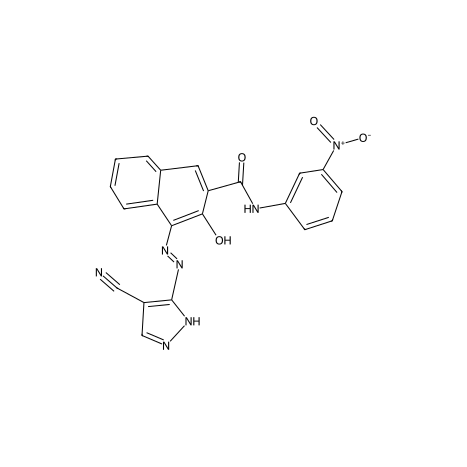 N#Cc1cn[nH]c1/N=N/c1c(O)c(C(=O)Nc2cccc([N+](=O)[O-])c2)cc2ccccc12